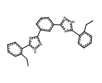 CCc1ccccc1-c1nc(-c2cccc(-c3n[nH]c(-c4ccccc4CC)n3)c2)n[nH]1